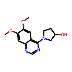 COc1cc2ncnc(N3CCC(O)C3)c2cc1OC